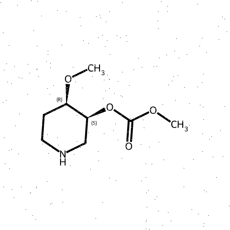 COC(=O)O[C@H]1CNCC[C@H]1OC